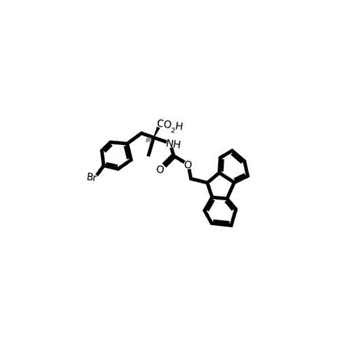 C[C@](Cc1ccc(Br)cc1)(NC(=O)OCC1c2ccccc2-c2ccccc21)C(=O)O